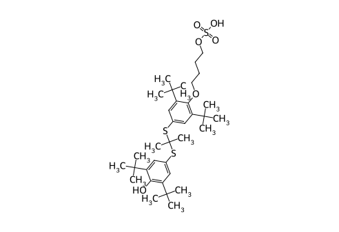 CC(C)(Sc1cc(C(C)(C)C)c(O)c(C(C)(C)C)c1)Sc1cc(C(C)(C)C)c(OCCCCOS(=O)(=O)O)c(C(C)(C)C)c1